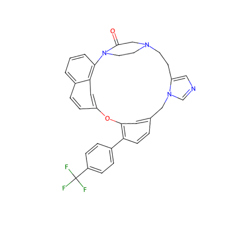 O=C1CN2CCc3cncn3Cc3ccc(-c4ccc(C(F)(F)F)cc4)c(c3)Oc3ccc4cccc(c4c3)N1CC2